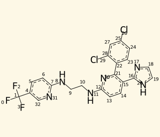 FC(F)(F)c1ccc(NCCNc2ccc(-c3ncc[nH]3)c(-c3ccc(Cl)cc3Cl)n2)nc1